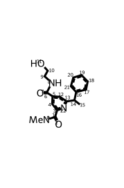 CNC(=O)c1cc(C(=O)NCCO)cc(C(C)c2ccccc2)n1